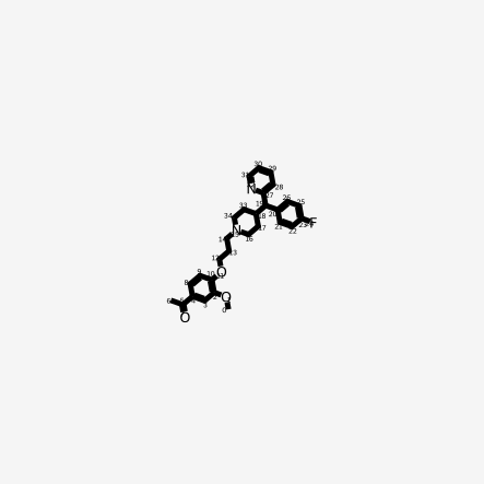 COc1cc(C(C)=O)ccc1OCCCN1CCC(C(c2ccc(F)cc2)c2ccccn2)CC1